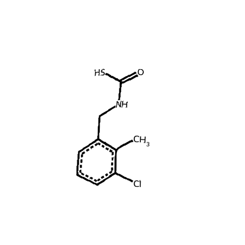 Cc1c(Cl)cccc1CNC(=O)S